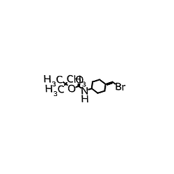 CC(C)(C)OC(=O)NC1CCC(=CBr)CC1